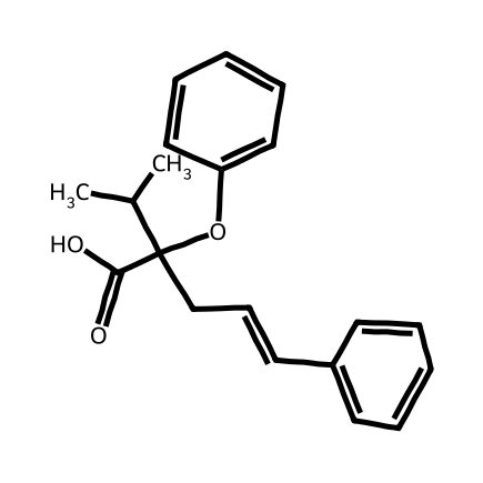 CC(C)C(CC=Cc1ccccc1)(Oc1ccccc1)C(=O)O